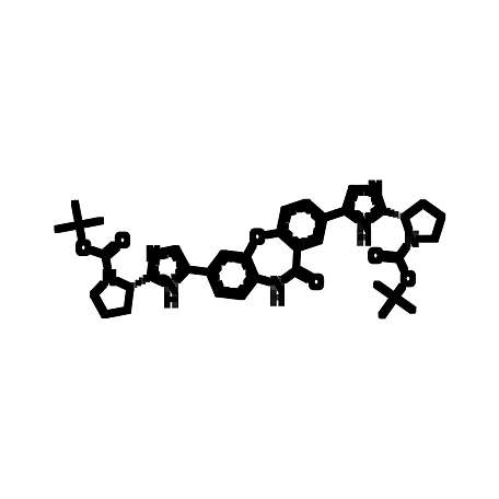 CC(C)(C)OC(=O)N1CCC[C@H]1c1ncc(-c2ccc3c(c2)Oc2ccc(-c4cnc([C@@H]5CCCN5C(=O)OC(C)(C)C)[nH]4)cc2C(=O)N3)[nH]1